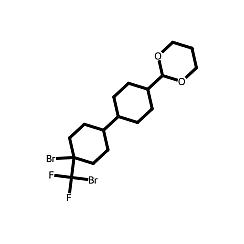 FC(F)(Br)C1(Br)CCC(C2CCC(C3OCCCO3)CC2)CC1